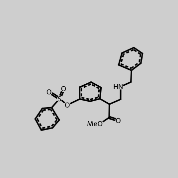 COC(=O)C(CNCc1ccccc1)c1cccc(OS(=O)(=O)c2ccccc2)c1